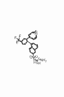 N=C(NS(=O)(=O)c1ccc2c(-c3ccc(C(F)(F)F)cc3-c3ccncc3)cccc2c1)SN